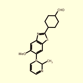 COc1cc2nc(C3CCC(C=O)CC3)sc2cc1N1C=CC=NC1C